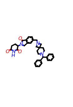 O=C1CCC(N2Cc3cc(CN4CC5(CCN(C(c6ccccc6)c6ccccc6)CC5)C4)ccc3C2=O)C(=O)N1